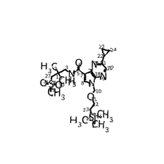 CC(C)(CNC(=O)c1cn(COCC[Si](C)(C)C)c2ncc(C3CC3)nc12)CS(C)(=O)=O